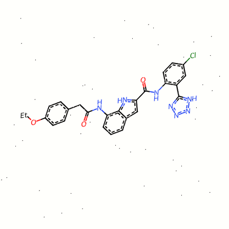 CCOc1ccc(CC(=O)Nc2cccc3cc(C(=O)Nc4ccc(Cl)cc4-c4nnn[nH]4)[nH]c23)cc1